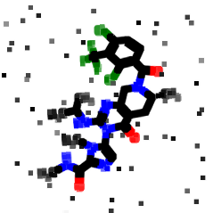 CNC(=O)c1ncc(-n2c(NC(C)C)nc3c(c2=O)C[C@@H](C)N(C(=O)c2ccc(Cl)c(C(F)(F)F)c2Cl)C3)n1C